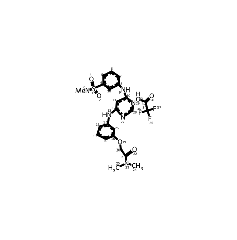 CNS(=O)(=O)c1cccc(Nc2cc(Nc3cccc(OCC(=O)N(C)C)c3)ncn2)c1.O=C(O)C(F)(F)F